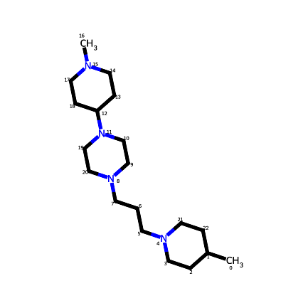 CC1CCN(CCCN2CCN(C3CCN(C)CC3)CC2)CC1